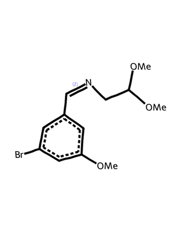 COc1cc(Br)cc(/C=N\CC(OC)OC)c1